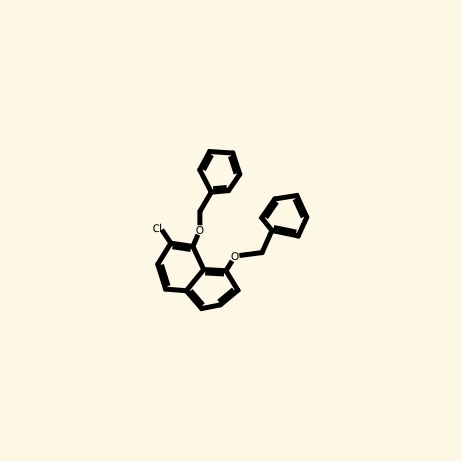 Clc1ccc2cccc(OCc3ccccc3)c2c1OCc1ccccc1